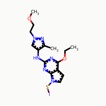 CCOc1nc(Nc2cn(CCOC)nc2C)nc2c1ccn2SI